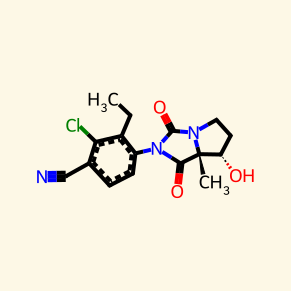 CCc1c(N2C(=O)N3CC[C@H](O)[C@]3(C)C2=O)ccc(C#N)c1Cl